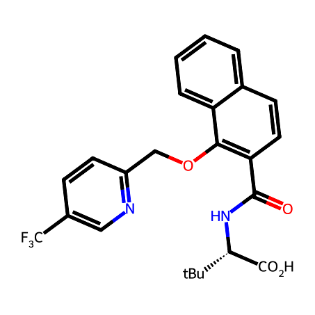 CC(C)(C)[C@H](NC(=O)c1ccc2ccccc2c1OCc1ccc(C(F)(F)F)cn1)C(=O)O